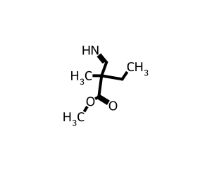 CCC(C)(C=N)C(=O)OC